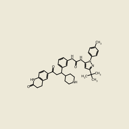 Cc1ccc(-n2nc(C(C)(C)C)cc2NC(=O)Nc2cccc(C(CC(=O)c3ccc4c(c3)CCC(=O)N4)C3CCNCC3)c2)cc1